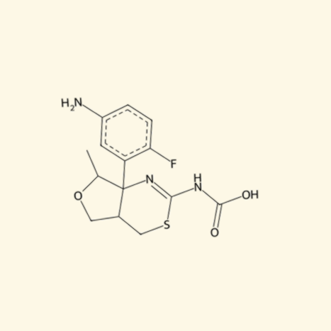 CC1OCC2CSC(NC(=O)O)=NC21c1cc(N)ccc1F